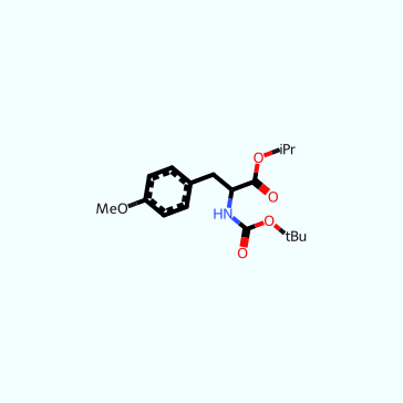 COc1ccc(CC(NC(=O)OC(C)(C)C)C(=O)OC(C)C)cc1